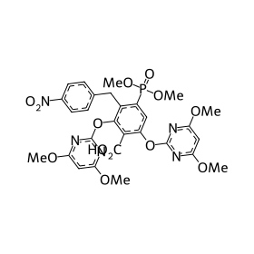 COc1cc(OC)nc(Oc2cc(P(=O)(OC)OC)c(Cc3ccc([N+](=O)[O-])cc3)c(Oc3nc(OC)cc(OC)n3)c2C(=O)O)n1